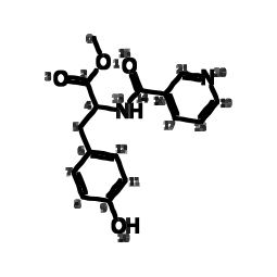 COC(=O)C(Cc1ccc(O)cc1)NC(=O)c1cccnc1